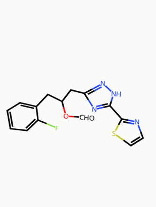 O=COC(Cc1n[nH]c(-c2nccs2)n1)Cc1ccccc1F